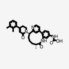 Cc1cccc(C2=CC(=O)N([C@H]3CCC[C@@H](C)C(=O)Nc4cc(NC(=O)O)ccc4-c4ccnc3c4)CC2)c1C